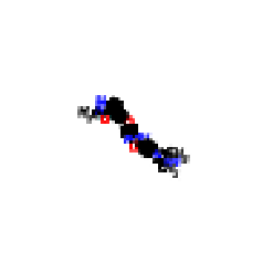 CNC(=O)c1cccc2cc(Oc3ccnc(NC(=O)c4ccc(N5C[C@@H](C)N[C@@H](C)C5)cc4)c3)ccc12